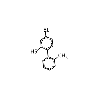 CCc1ccc(-c2ccccc2C)c(S)c1